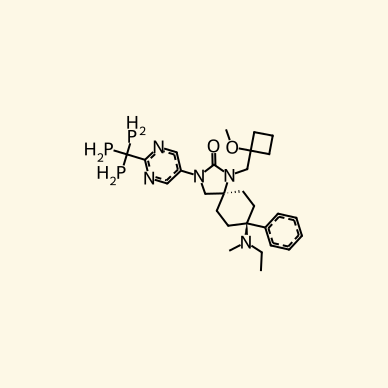 CCN(C)[C@]1(c2ccccc2)CC[C@]2(CC1)CN(c1cnc(C(P)(P)P)nc1)C(=O)N2CC1(OC)CCC1